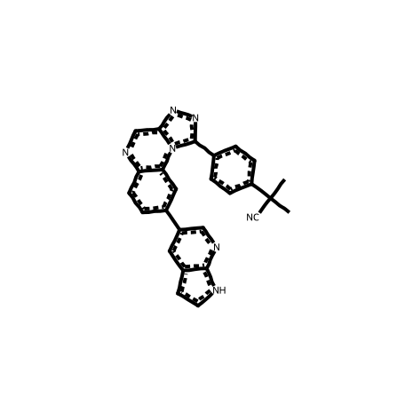 CC(C)(C#N)c1ccc(-c2nnc3cnc4ccc(-c5cnc6[nH]ccc6c5)cc4n23)cc1